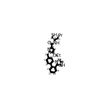 CCOc1cc(C(=O)N[C@@H](CS)CC(C)C)nn1Cc1ccc(-c2ccccc2-c2nnn[nH]2)cc1